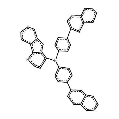 c1ccc2cc(-c3ccc(N(c4ccc(-c5ccc6ccccc6c5)cc4)c4ccnc5c4sc4ccccc45)cc3)ccc2c1